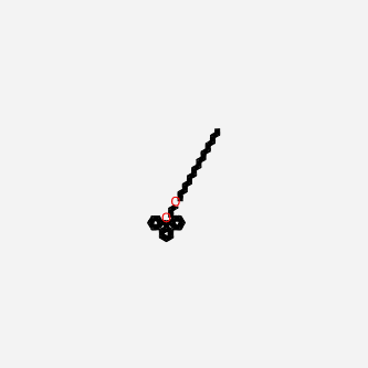 CCCCCCCCCCCCCCCCCCOCCCOC(c1ccccc1)(c1ccccc1)c1ccccc1